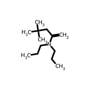 C=C(CC(C)(C)C)N(CCC)CCC